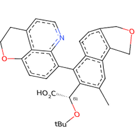 Cc1cc2c3c(ccc2c(-c2ccc4c5c(ccnc25)CCO4)c1[C@H](OC(C)(C)C)C(=O)O)COC3